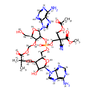 COC(=O)C(C#N)(COC(C)=O)COP(=O)(OC[C@H]1O[C@@H](n2cnc3c(N)ncnc32)C(O)C1O)OC1C(OCOC(=O)C(C)(C)C)[C@@H](CO)O[C@H]1n1cnc2c(N)ncnc21